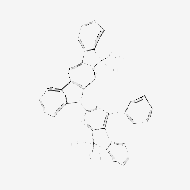 CC1(C)c2ccccc2-c2cc3c4ccccc4n(-c4nc(-c5ccccc5)c5c(n4)C(C)(C)c4ccccc4-5)c3cc21